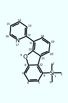 C[Si](C)(C)c1cccc2oc3c(-c4ccccn4)cccc3c12